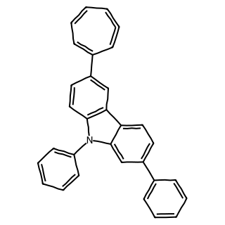 C1=CC=CC=C(c2ccc3c(c2)c2ccc(-c4ccccc4)cc2n3-c2ccccc2)C=1